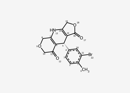 Cc1ccc([C@@H]2C3=C(COCC3=O)NC3=C2C(=O)OC3)cc1Br